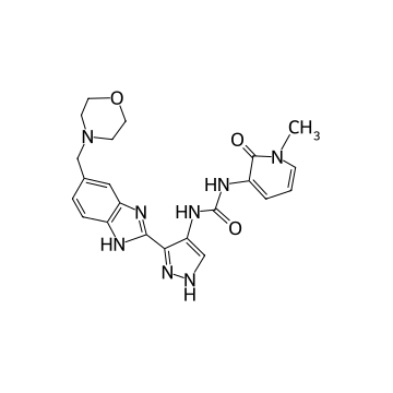 Cn1cccc(NC(=O)Nc2c[nH]nc2-c2nc3cc(CN4CCOCC4)ccc3[nH]2)c1=O